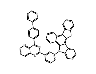 c1ccc(-c2ccc(-c3nc(-c4cccc(-n5c6ccccc6c6c7sc8ccccc8c7c7ccccc7c65)c4)nc4cccnc34)cc2)cc1